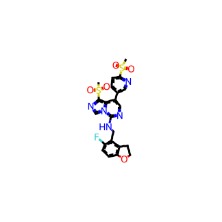 CS(=O)(=O)c1ccc(-c2cnc(NCc3c(F)ccc4c3CCO4)n3cnc(S(C)(=O)=O)c23)cn1